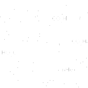 CCCCCCc1cc(C(=O)O)cc(C(=O)O)c1C(=O)O